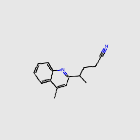 Cc1cc(C(C)CCC#N)nc2ccccc12